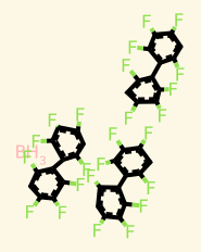 B.Fc1cc(F)c(-c2c(F)cc(F)c(F)c2F)c(F)c1F.Fc1cc(F)c(-c2c(F)cc(F)c(F)c2F)c(F)c1F.Fc1cc(F)c(-c2c(F)cc(F)c(F)c2F)c(F)c1F